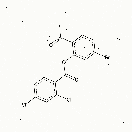 CC(=O)c1ccc(Br)cc1OC(=O)c1ccc(Cl)cc1Cl